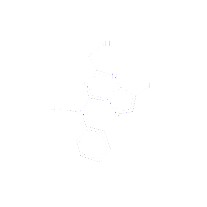 CN(c1ccccc1)c1nc(CS)nc2c(I)cnn12